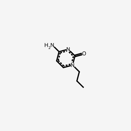 CCCn1ccc(N)nc1=O